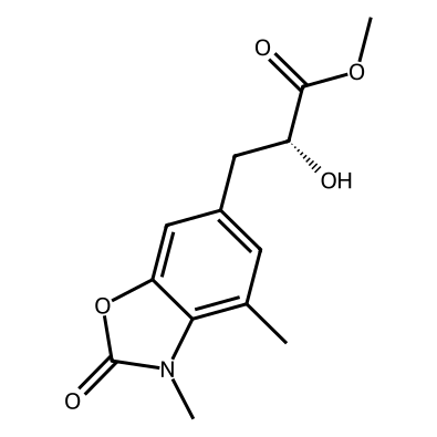 COC(=O)[C@H](O)Cc1cc(C)c2c(c1)oc(=O)n2C